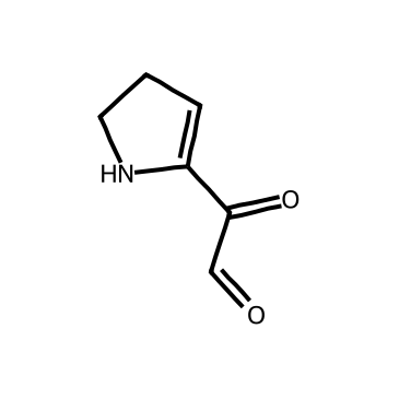 O=CC(=O)C1=CCCN1